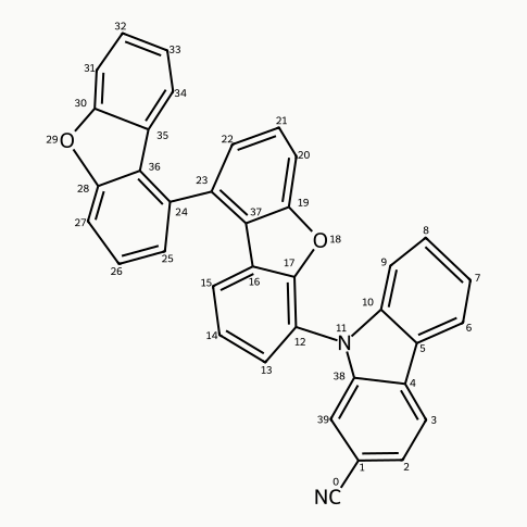 N#Cc1ccc2c3ccccc3n(-c3cccc4c3oc3cccc(-c5cccc6oc7ccccc7c56)c34)c2c1